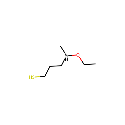 CCO[SiH](C)CCCS